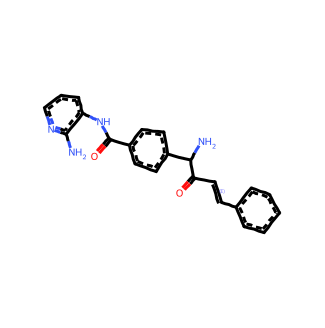 Nc1ncccc1NC(=O)c1ccc(C(N)C(=O)/C=C/c2ccccc2)cc1